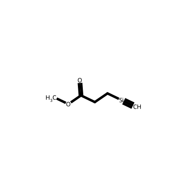 C#[Si]CCC(=O)OC